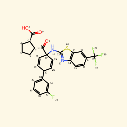 O=C(O)[C@@H]1CCC[C@H]1C(=O)C1(Nc2nc3ccc(C(F)(F)F)cc3s2)C=CC(c2cccc(F)c2)C=C1